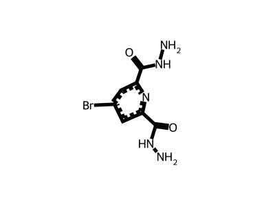 NNC(=O)c1cc(Br)cc(C(=O)NN)n1